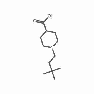 CC(C)(C)CCN1CCC(C(=O)O)CC1